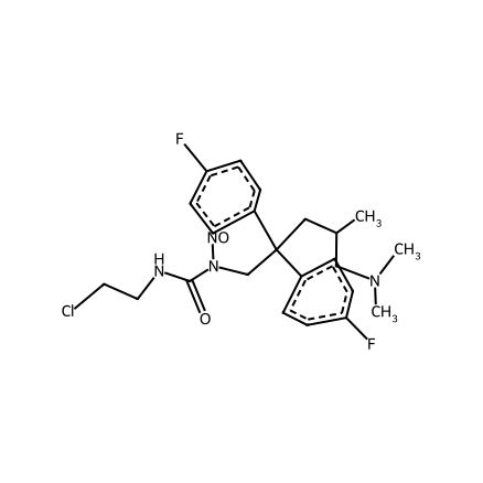 CC(CN(C)C)CC(CN(N=O)C(=O)NCCCl)(c1ccc(F)cc1)c1ccc(F)cc1